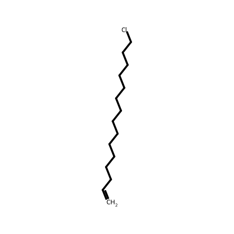 C=CCCCCCCCCCCCCCCl